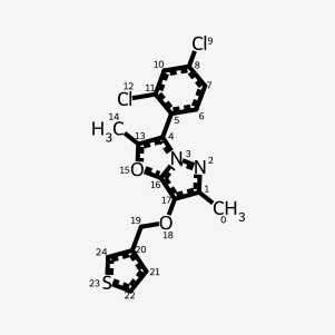 Cc1nn2c(-c3ccc(Cl)cc3Cl)c(C)oc2c1OCc1ccsc1